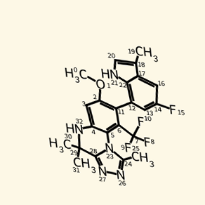 COc1cc2c(c(C(F)(F)F)c1-c1cc(F)cc3c(C)c[nH]c13)-n1c(C)nnc1C(C)(C)N2